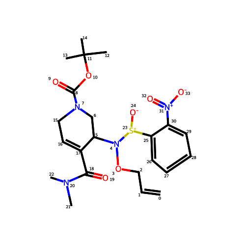 C=CCON(C1CN(C(=O)OC(C)(C)C)CC=C1C(=O)N(C)C)[S+]([O-])c1ccccc1[N+](=O)[O-]